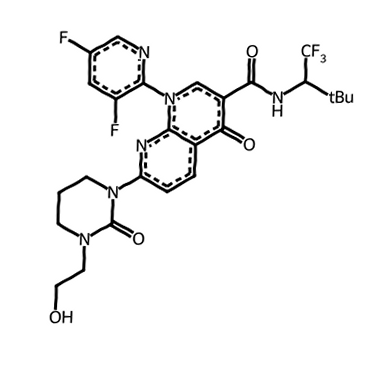 CC(C)(C)C(NC(=O)c1cn(-c2ncc(F)cc2F)c2nc(N3CCCN(CCO)C3=O)ccc2c1=O)C(F)(F)F